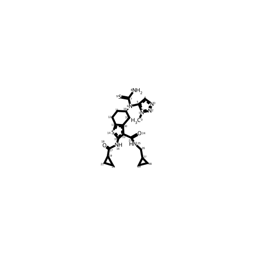 Cn1nncc1N(C(N)=S)[C@H]1CCc2sc(NC(=O)C3CC3)c(C(=O)NCC3CC3)c2C1